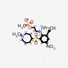 C#Cc1cc([N+](=O)[O-])cc(S(=O)(=O)C2CCCN(C)CC2)c1N(CCC)CCOS(C)(=O)=O